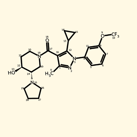 Cc1nn(-c2cccc(OC(F)(F)F)c2)c(C2CC2)c1C(=O)N1CC[C@H](O)[C@@H](N2CCCC2)C1